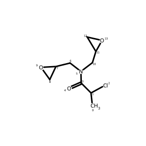 CC(Cl)C(=O)N(CC1CO1)CC1CO1